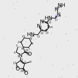 CC1=C(N2CC[C@]3(CC[C@@H](NCc4ccc(N/C=N\N=N)nn4)CC3)C2=O)COC1=O